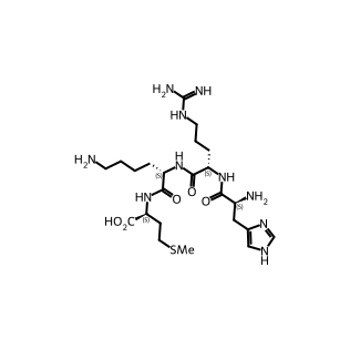 CSCC[C@H](NC(=O)[C@H](CCCCN)NC(=O)[C@H](CCCNC(=N)N)NC(=O)[C@@H](N)Cc1c[nH]cn1)C(=O)O